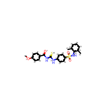 COc1ccc(C(=O)NC(=S)Nc2ccc(S(=O)(=O)Nc3c(C)cccc3C)cc2)cc1